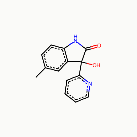 Cc1ccc2c(c1)C(O)(c1ccccn1)C(=O)N2